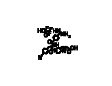 N#Cc1ccc(C[C@H](NC(=O)c2ccc(C(=N)N)cc2)C(=O)N2CCc3nn(CC(=O)O)cc3C2)cc1.O=C(O)C(F)(F)F